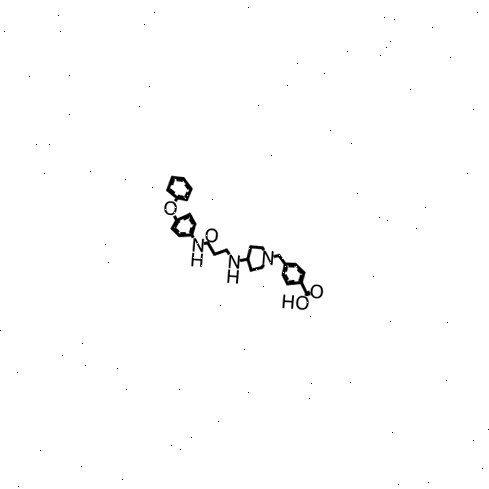 O=C(CCNC1CCN(Cc2ccc(C(=O)O)cc2)CC1)Nc1ccc(Oc2ccccc2)cc1